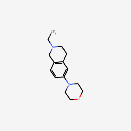 FC(F)(F)CN1CCc2cc(N3CCOCC3)ccc2C1